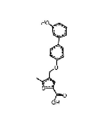 Cc1oc(C(=O)O)cc1COc1ccc(-c2cccc(O)c2)cc1